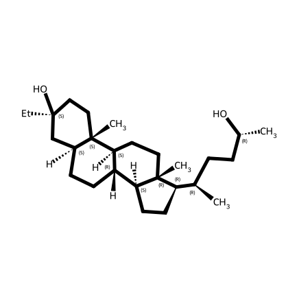 CC[C@]1(O)CC[C@@]2(C)[C@@H](CC[C@@H]3[C@@H]2CC[C@]2(C)[C@@H]([C@H](C)CC[C@@H](C)O)CC[C@@H]32)C1